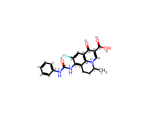 CC1CCc2c(NC(=O)Nc3ccccc3)c(F)cc3c(=O)c(C(=O)O)cn1c23